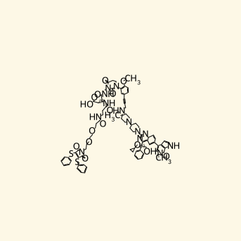 COc1ccc(C#CCNC2(C)CCN(C3CCN(c4nc([C@@](CO)(OC5CC5)c5ccccc5)c5cc(-c6cn(C)c(=O)c7[nH]ccc67)ccc5n4)CC3)CC2)cc1N1CCC(=O)N(CNC(=O)[C@H](CC(=O)O)NC(=O)CCNC(=O)CCOCCOCCN2C(=O)C(Sc3ccccc3)=C(Sc3ccccc3)C2=O)C1=O